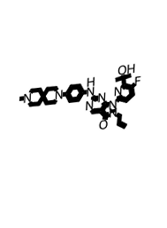 C=CCn1c(=O)c2cnc(Nc3ccc(N4CCC5(CCN(C)CC5)CC4)cc3)nc2n1-c1ccc(F)c(C(C)(C)O)n1